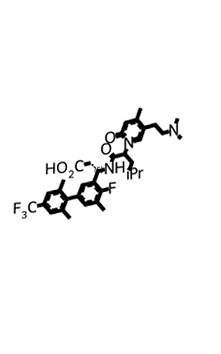 Cc1cc(=O)n(C(CC(C)C)C(=O)N[C@@H](CC(=O)O)c2cc(-c3c(C)cc(C(F)(F)F)cc3C)cc(C)c2F)cc1CCN(C)C